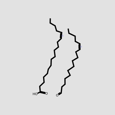 CCCC/C=C\CCCCCCCCCC=O.CCCC/C=C\CCCCCCCCCCCC(=O)O